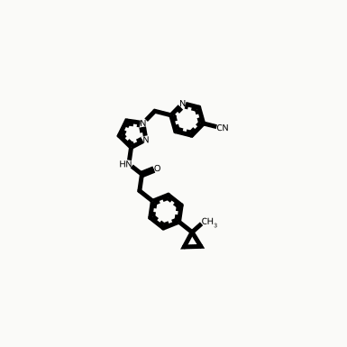 CC1(c2ccc(CC(=O)Nc3ccn(Cc4ccc(C#N)cn4)n3)cc2)CC1